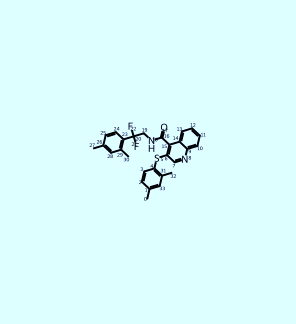 Cc1ccc(Sc2cnc3ccccc3c2C(=O)NCC(F)(F)c2ccc(C)cc2C)c(C)c1